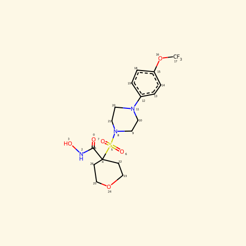 O=C(NO)C1(S(=O)(=O)N2CCN(c3ccc(OC(F)(F)F)cc3)CC2)CCOCC1